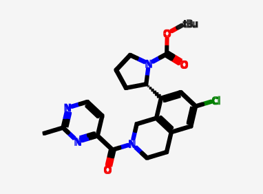 Cc1nccc(C(=O)N2CCc3cc(Cl)cc([C@@H]4CCCN4C(=O)OC(C)(C)C)c3C2)n1